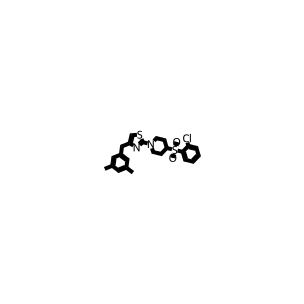 Cc1cc(C)cc(Cc2csc(N3CCC(S(=O)(=O)c4ccccc4Cl)CC3)n2)c1